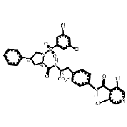 O=C(Nc1ccc(C[C@H](NC(=O)[C@H]2C[C@@H](c3ccccc3)CN2S(=O)(=O)c2cc(Cl)cc(Cl)c2)C(=O)O)cc1)c1c(Cl)cncc1Cl